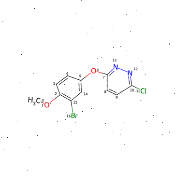 COc1ccc(Oc2ccc(Cl)nn2)cc1Br